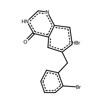 Br.O=c1[nH]cnc2ccc(Cc3ccccc3Br)cc12